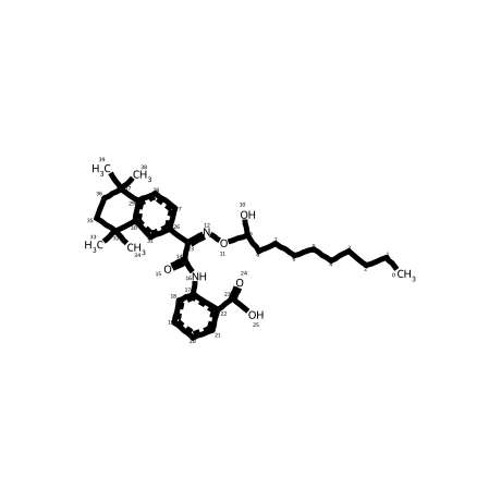 CCCCCCCCCC(O)ON=C(C(=O)Nc1ccccc1C(=O)O)c1ccc2c(c1)C(C)(C)CCC2(C)C